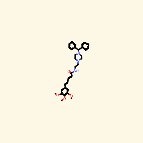 COc1cc(C=CC=CC(=O)NCCN2CCN(C(c3ccccc3)c3ccccc3)CC2)cc(OC)c1OC